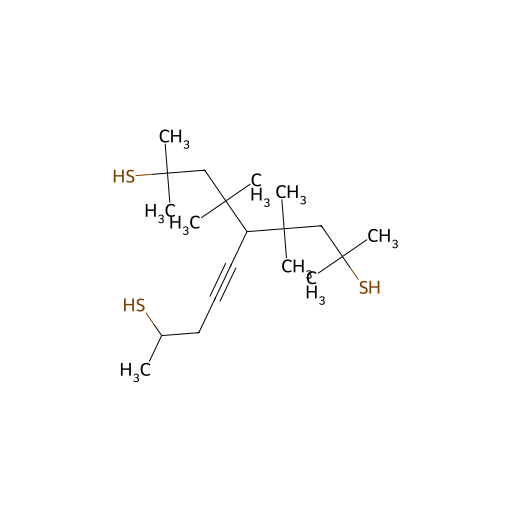 CC(S)CC#CC(C(C)(C)CC(C)(C)S)C(C)(C)CC(C)(C)S